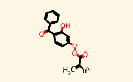 C=C(CCC)C(=O)OOc1ccc(C(=O)c2ccccc2)c(O)c1